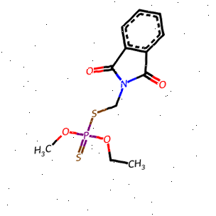 CCOP(=S)(OC)SCN1C(=O)c2ccccc2C1=O